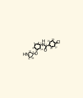 O=C(Nc1cccc(O[C@@H]2CCNC2)c1)c1ccc(Cl)cc1